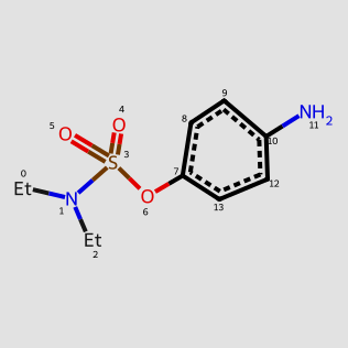 CCN(CC)S(=O)(=O)Oc1ccc(N)cc1